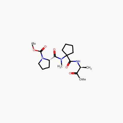 COC(=O)[C@H](C)NC(=O)C1(N(C)C(=O)[C@@H]2CCCN2C(=O)OC(C)(C)C)CCCC1